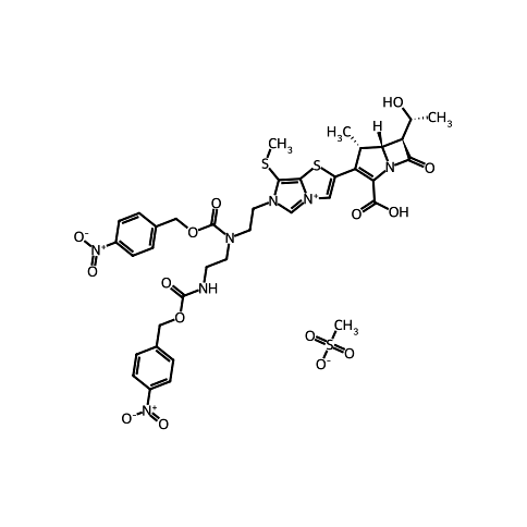 CS(=O)(=O)[O-].CSc1c2sc(C3=C(C(=O)O)N4C(=O)[C@H]([C@@H](C)O)[C@H]4[C@H]3C)c[n+]2cn1CCN(CCNC(=O)OCc1ccc([N+](=O)[O-])cc1)C(=O)OCc1ccc([N+](=O)[O-])cc1